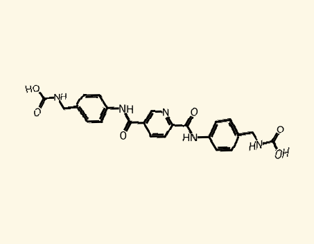 O=C(O)NCc1ccc(NC(=O)c2ccc(C(=O)Nc3ccc(CNC(=O)O)cc3)nc2)cc1